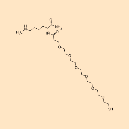 CNCCCCC(NC(=O)CCOCCOCCOCCOCCOCCOCCS)C(N)=O